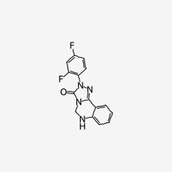 O=c1n(-c2ccc(F)cc2F)nc2n1CNc1ccccc1-2